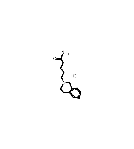 Cl.NC(=O)CCCCN1CCc2ccccc2C1